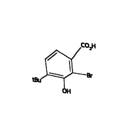 CC(C)(C)c1ccc(C(=O)O)c(Br)c1O